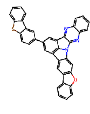 c1ccc2nc3c(nc2c1)c1cc(-c2ccc4sc5ccccc5c4c2)cc2c4cc5c(cc4n3c21)oc1ccccc15